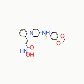 O=C(/C=C/c1ccccc1N1CCC(NSc2ccc3c(c2)OCCO3)CC1)NO